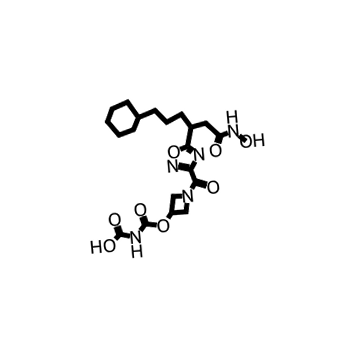 O=C(O)NC(=O)OC1CN(C(=O)c2noc(C(CCCC3CCCCC3)CC(=O)NO)n2)C1